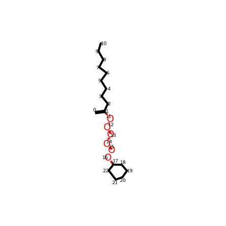 C=C(CCCCCCCCC)OOOOOOC1CCCCC1